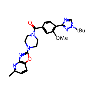 COc1cc(C(=O)N2CCN(c3nc4nc(C)ccc4o3)CC2)ccc1-c1ncn(C(C)(C)C)n1